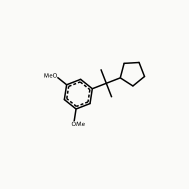 COc1cc(OC)cc(C(C)(C)C2CCCC2)c1